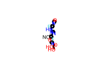 N#Cc1cc(-c2nccc(Nc3ccc(N4CCOCC4)cc3F)n2)ccc1O[C@H]1CCN(C(=O)[C@@H](O)CO)C[C@H]1F